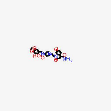 COc1ccc2c(C(N)=O)cc(=O)n(CCN3CCC(N(Cc4ccc5c(c4)OCCO5)C(=O)O)CC3)c2c1